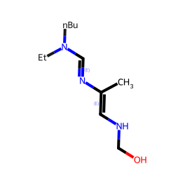 CCCCN(/C=N/C(C)=C/NCO)CC